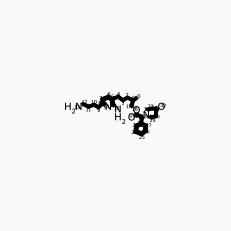 CC(CCCc1ccc(CCCCN)nc1N)COC(=O)C(c1ccccc1)N1CCC(=O)CC1